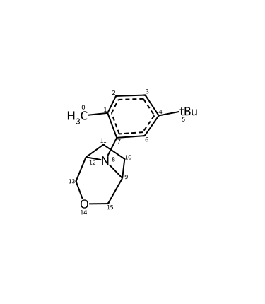 Cc1ccc(C(C)(C)C)cc1N1C2CCC1COC2